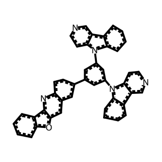 c1ccc2c(c1)oc1cc3cc(-c4cc(-n5c6ccccc6c6cnccc65)cc(-n5c6ccccc6c6cnccc65)c4)ccc3nc12